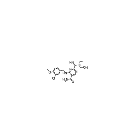 CC[C@H](CO)C(=N)c1ncc(C(N)=O)c(NCc2ccc(OC)c(Cl)c2)n1